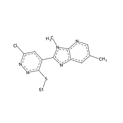 CCSc1nnc(Cl)cc1-c1nc2cc(C)cnc2n1C